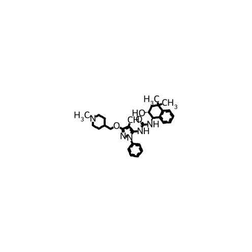 Cc1c(OCC2CCN(C)CC2)nn(-c2ccccc2)c1NC(=O)N[C@@H]1c2ccccc2C(C)(C)C[C@H]1O